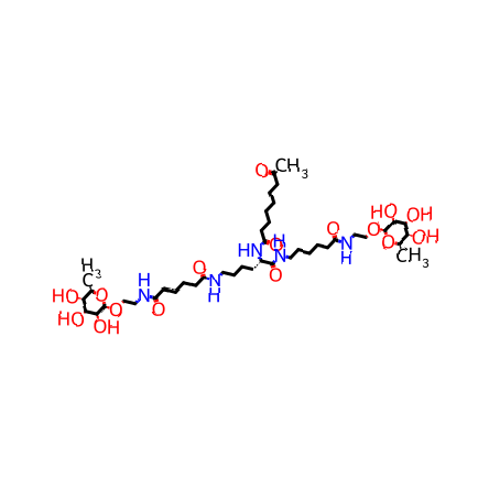 CC(=O)CCCCCCC(=O)N[C@@H](CCCCNC(=O)CCCCC(=O)NCCO[C@@H]1O[C@@H](C)[C@@H](O)[C@@H](O)[C@@H]1O)C(=O)NCCCCCC(=O)NCCO[C@@H]1O[C@@H](C)[C@@H](O)[C@@H](O)[C@@H]1O